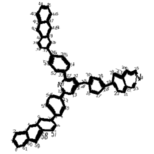 c1ccc2cc3cc(-c4ccc(-c5cc(-c6ccc(-c7ccc8cnccc8c7)cc6)cc(-c6ccc(-c7ccc8cc9ccccc9cc8c7)cc6)n5)cc4)ccc3cc2c1